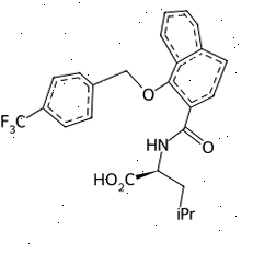 CC(C)C[C@H](NC(=O)c1ccc2ccccc2c1OCc1ccc(C(F)(F)F)cc1)C(=O)O